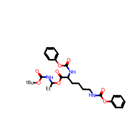 CCC(NC(=O)OC(C)(C)C)OC(=O)C(CCCCNC(=O)Oc1ccccc1)NC(=O)Oc1ccccc1